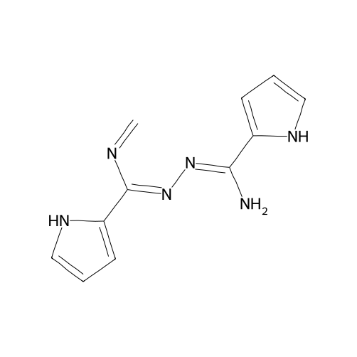 C=N/C(=N\N=C(/N)c1ccc[nH]1)c1ccc[nH]1